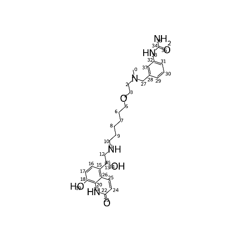 CN(CCOCCCCCCNC[C@H](O)c1ccc(O)c2[nH]c(=O)ccc12)Cc1cccc(NC(N)=O)c1